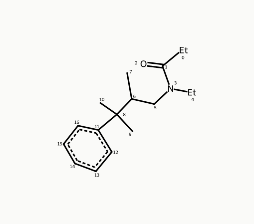 CCC(=O)N(CC)CC(C)C(C)(C)c1ccccc1